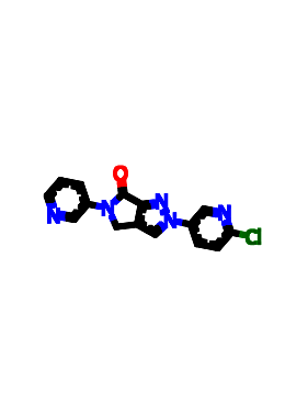 O=C1c2nn(-c3ccc(Cl)nc3)cc2CN1c1cccnc1